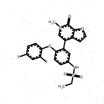 CCS(=O)(=O)Nc1ccc(Oc2ccc(F)cc2F)c(-c2cn(C)c(=O)c3occc23)c1